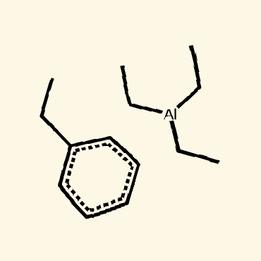 CCc1ccccc1.C[CH2][Al]([CH2]C)[CH2]C